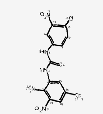 Nc1c(NC(=O)Nc2ccc(Cl)c([N+](=O)[O-])c2)cc(C(F)(F)F)cc1[N+](=O)[O-]